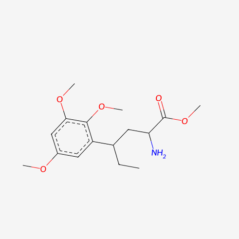 CCC(CC(N)C(=O)OC)c1cc(OC)cc(OC)c1OC